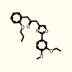 CCCOc1ccccc1CC(=O)Cc1coc(-c2ccc(OC)c(OCC)c2)n1